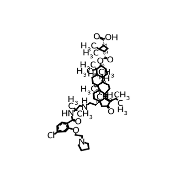 CC(C)C1=C2[C@H]3CC[C@@H]4[C@@]5(C)CC[C@H](OC(=O)[C@H]6C[C@@H](C(=O)O)C6(C)C)C(C)(C)[C@@H]5CC[C@@]4(C)[C@]3(C)CC[C@@]2(CCNCC(C)(C)NC(=O)c2ccc(Cl)cc2OCCN2CCCC2)CC1=O